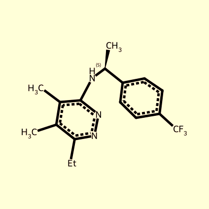 CCc1nnc(N[C@@H](C)c2ccc(C(F)(F)F)cc2)c(C)c1C